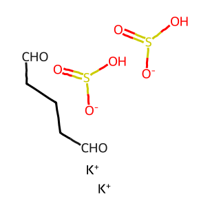 O=CCCCC=O.O=S([O-])O.O=S([O-])O.[K+].[K+]